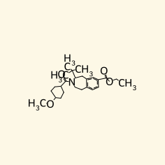 CCOC(=O)c1ccc2c(c1)CC(C(C)(C)C)N(C(=O)C1CCC(OC)CC1)CC2